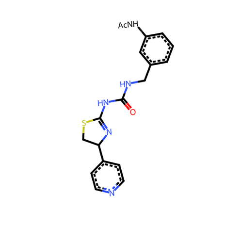 CC(=O)Nc1cccc(CNC(=O)NC2=NC(c3ccncc3)CS2)c1